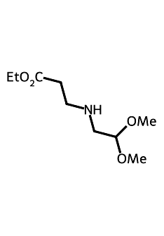 CCOC(=O)CCNCC(OC)OC